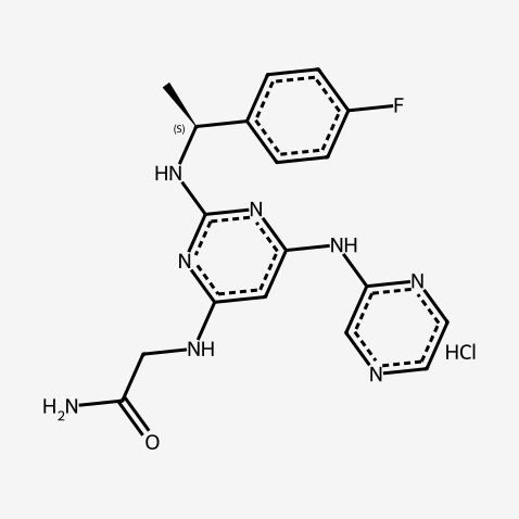 C[C@H](Nc1nc(NCC(N)=O)cc(Nc2cnccn2)n1)c1ccc(F)cc1.Cl